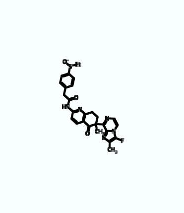 CC[S+]([O-])c1ccc(CC(=O)Nc2ccc3c(n2)CCC(C)(c2nccn4c(F)c(C)nc24)C3=O)cc1